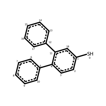 Sc1ccc(-c2ccccc2)c(-c2ccccc2)c1